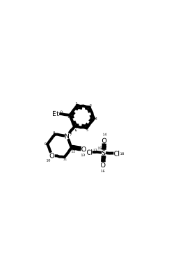 CCc1ccccc1N1CCOCC1=O.O=S(=O)(Cl)Cl